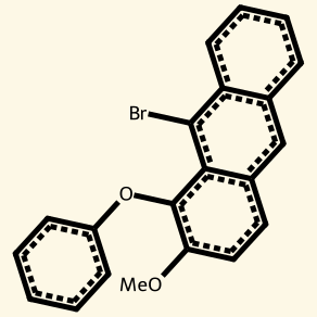 COc1ccc2cc3ccccc3c(Br)c2c1Oc1ccccc1